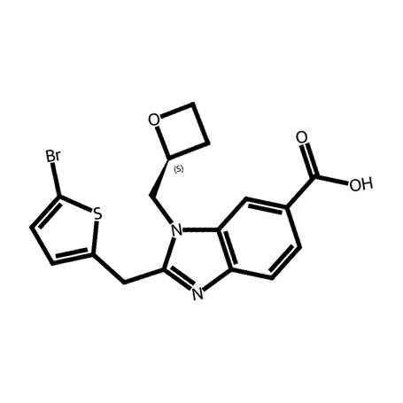 O=C(O)c1ccc2nc(Cc3ccc(Br)s3)n(C[C@@H]3CCO3)c2c1